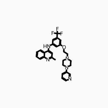 Cc1cc(Nc2cc(OCCN3CCN(c4cccnc4)CC3)cc(C(F)(F)F)c2)c2ccccc2n1